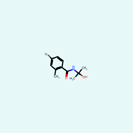 Cc1cc(Br)ccc1C(=O)NC(C)(C)O